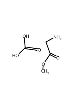 COC(=O)CN.O=C(O)O